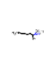 C=CCCCCC(NC(=O)O)C(C)C